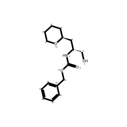 O=C(N[C@@H](CO)C[C@@H]1CCCCO1)OCc1ccccc1